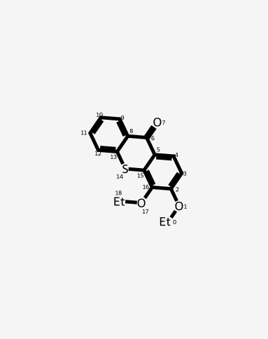 CCOc1ccc2c(=O)c3ccccc3sc2c1OCC